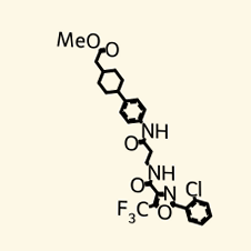 COC(=O)CC1CCC(c2ccc(NC(=O)CCNC(=O)c3nc(-c4ccccc4Cl)oc3C(F)(F)F)cc2)CC1